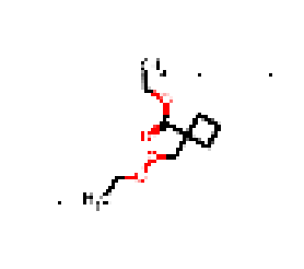 CCOOCC1(C(=O)OCC)CCC1